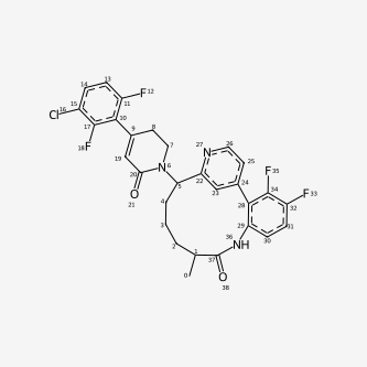 CC1CCCC(N2CCC(c3c(F)ccc(Cl)c3F)=CC2=O)c2cc(ccn2)-c2c(ccc(F)c2F)NC1=O